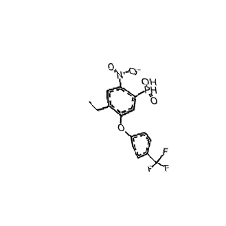 CCc1cc([N+](=O)[O-])c([PH](=O)O)cc1Oc1ccc(C(F)(F)F)cc1